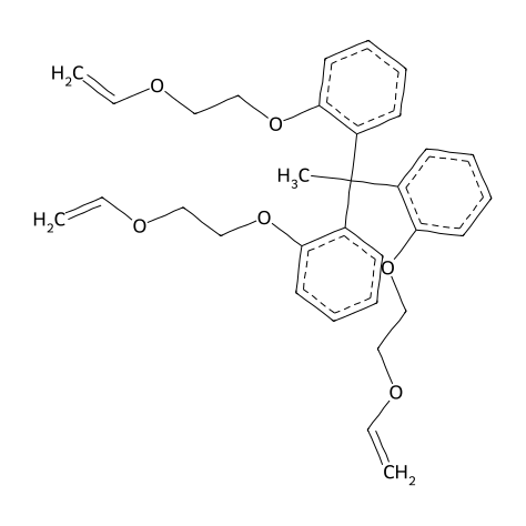 C=COCCOc1ccccc1C(C)(c1ccccc1OCCOC=C)c1ccccc1OCCOC=C